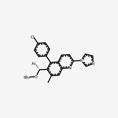 CC(=O)[C@@H](OC(C)(C)C)c1c(C)cc2nc(-n3ccnc3)ccc2c1-c1ccc(Cl)cc1